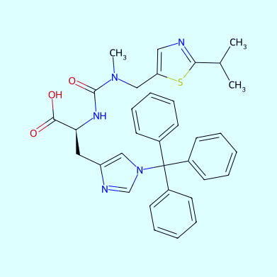 CC(C)c1ncc(CN(C)C(=O)N[C@@H](Cc2cn(C(c3ccccc3)(c3ccccc3)c3ccccc3)cn2)C(=O)O)s1